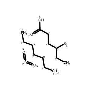 CCC(Br)CCC(=O)O.CCCCCCP.O=S=O